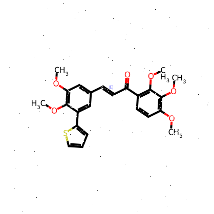 COc1cc(/C=C/C(=O)c2ccc(OC)c(OC)c2OC)cc(-c2cccs2)c1OC